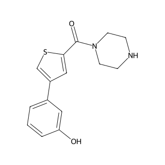 O=C(c1cc(-c2cccc(O)c2)cs1)N1CCNCC1